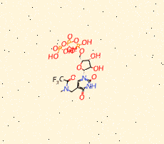 CN(Cc1cn([C@@H]2O[C@H](COP(=O)(O)OP(=O)(O)OP(=O)(O)O)[C@H](O)C2O)c(=O)[nH]c1=O)C(=O)C(F)(F)F